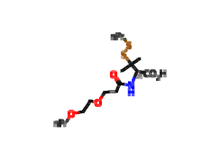 CCCOCCOCCC(=O)N[C@H](C(=O)O)C(C)(C)SSCCC